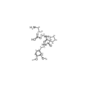 COc1ccc(CCNC(=O)C2(C(=O)N[C@@H](CCCN)OBO)CCCC2)cc1OC